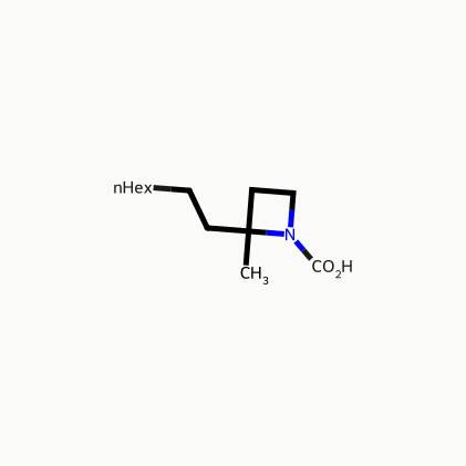 CCCCCCCCC1(C)CCN1C(=O)O